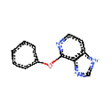 c1ccc(Oc2nccc3[nH]cnc23)cc1